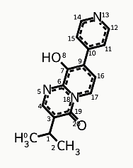 CC(C)c1cnc2c(O)c(-c3ccncc3)ccn2c1=O